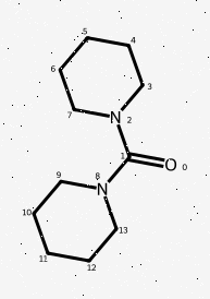 O=C(N1CC[CH]CC1)N1CCCCC1